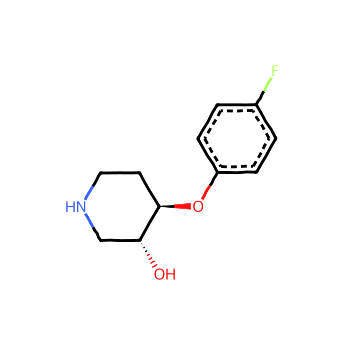 O[C@@H]1CNCC[C@H]1Oc1ccc(F)cc1